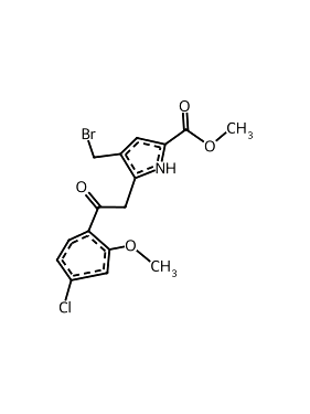 COC(=O)c1cc(CBr)c(CC(=O)c2ccc(Cl)cc2OC)[nH]1